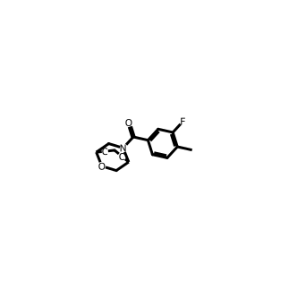 Cc1ccc(C(=O)N2CC3CCCC2CO3)cc1F